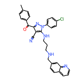 Cc1ccc(C(=O)c2nn(-c3ccc(Cl)cc3)c(NCCCNCc3ccc4cccnc4c3)c2C#N)cc1